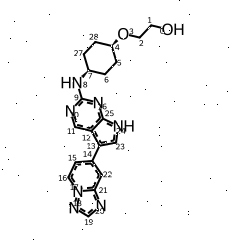 OCCO[C@H]1CC[C@@H](Nc2ncc3c(-c4ccn5ncnc5c4)c[nH]c3n2)CC1